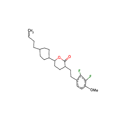 C=CCCC1CCC(C2CCC(CCc3ccc(OC)c(F)c3F)C(=O)O2)CC1